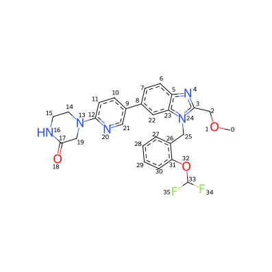 COCc1nc2ccc(-c3ccc(N4CCNC(=O)C4)nc3)cc2n1Cc1ccccc1OC(F)F